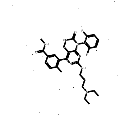 CCN(CC)CCCNc1nc(-c2cc(C(=O)NC)ccc2C)c2c(n1)N(c1c(F)cccc1F)C(=O)NC2